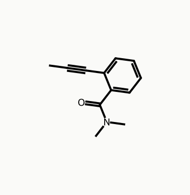 CC#Cc1ccccc1C(=O)N(C)C